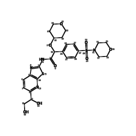 O=C(Nc1nc2ccc(C(O)CO)nc2s1)C(OC1CCOCC1)c1ccc(S(=O)(=O)N2CCOCC2)cc1